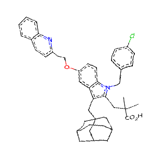 CC(C)(Cc1c(CC23CC4CC(CC(C4)C2)C3)c2cc(OCc3ccc4ccccc4n3)ccc2n1Cc1ccc(Cl)cc1)C(=O)O